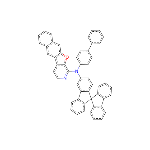 c1ccc(-c2ccc(N(c3ccc4c(c3)-c3ccccc3C43c4ccccc4-c4ccccc43)c3nccc4c3oc3cc5ccccc5cc34)cc2)cc1